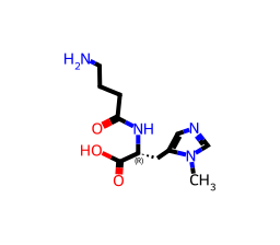 Cn1cncc1C[C@@H](NC(=O)CCCN)C(=O)O